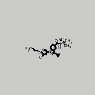 CN(C)[S+]([O-])NC(=O)C1=Cc2c(C3CC3)nn(-c3cnc(OCCCC(F)(F)F)c(Cl)c3)c2CC1F